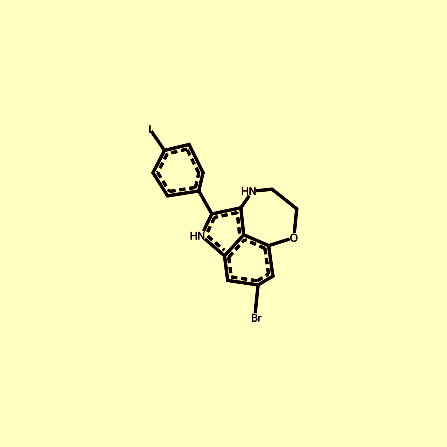 Brc1cc2c3c(c(-c4ccc(I)cc4)[nH]c3c1)NCCO2